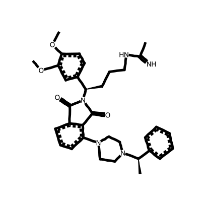 COc1ccc([C@@H](CCCNC(C)=N)N2C(=O)c3cccc(N4CCN([C@H](C)c5ccccc5)CC4)c3C2=O)cc1OC